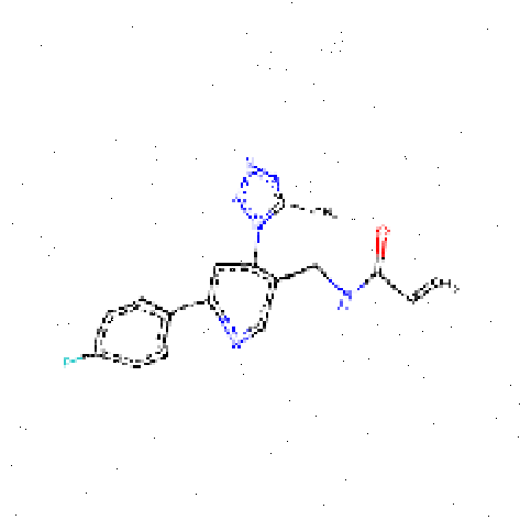 C=CC(=O)NCc1cnc(-c2ccc(F)cc2)cc1-n1nnnc1C